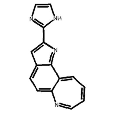 c1ccc2c(ccc3cc(-c4ncc[nH]4)nc32)nc1